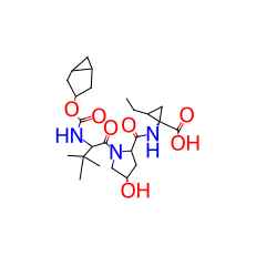 CCC1C[C@]1(NC(=O)C1C[C@@H](O)CN1C(=O)C(NC(=O)OC1CC2CC2C1)C(C)(C)C)C(=O)O